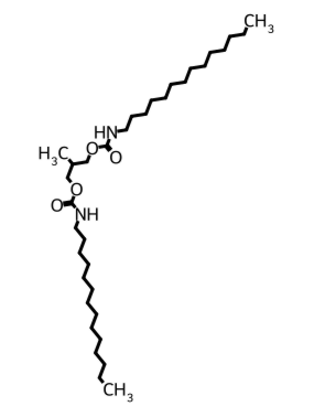 CCCCCCCCCCCCCCNC(=O)OCC(C)COC(=O)NCCCCCCCCCCCCCC